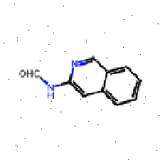 O=CNc1cc2ccccc2[c]n1